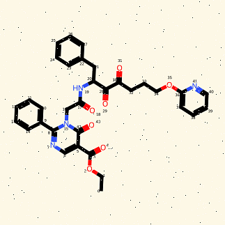 CCOC(=O)c1cnc(-c2ccccc2)n(CC(=O)NC(Cc2ccccc2)C(=O)C(=O)CCCOc2ccccn2)c1=O